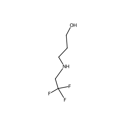 OCCCNCC(F)(F)F